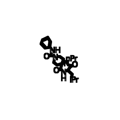 CCCN1C(=O)C(CC(C)C)NC(=O)C12CCN(C(=O)Nc1ccccc1)CC2